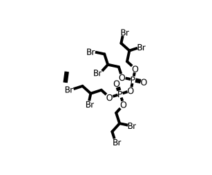 C=C.O=P(OCC(Br)CBr)(OCC(Br)CBr)OP(=O)(OCC(Br)CBr)OCC(Br)CBr